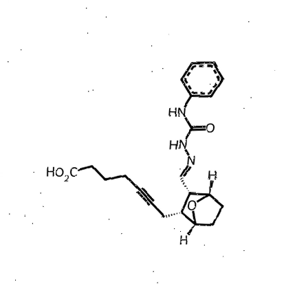 O=C(O)CCCC#CC[C@@H]1[C@H](C=NNC(=O)Nc2ccccc2)[C@@H]2CC[C@H]1O2